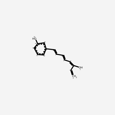 C=C\C(O)=C/C=C/C=C/c1cccc(O)c1